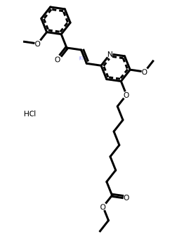 CCOC(=O)CCCCCCCOc1cc(/C=C/C(=O)c2ccccc2OC)ncc1OC.Cl